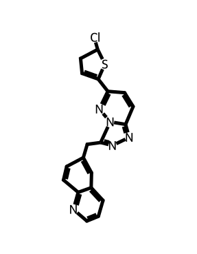 ClC1CC=C(c2ccc3nnc(Cc4ccc5ncccc5c4)n3n2)S1